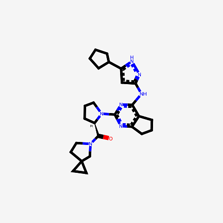 O=C([C@H]1CCCN1c1nc2c(c(Nc3cc(C4CCCC4)[nH]n3)n1)CCC2)N1CCC2(CC2)C1